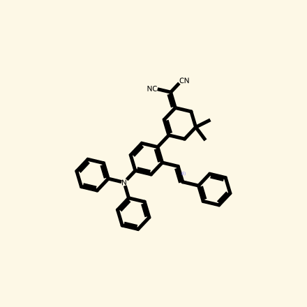 CC1(C)CC(c2ccc(N(c3ccccc3)c3ccccc3)cc2/C=C/c2ccccc2)=CC(=C(C#N)C#N)C1